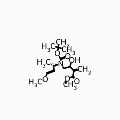 C=C(C(=O)OC)C(O)CN(C(=O)OC(C)(C)C)[C@@H](C)C=COC